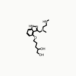 CNCCN(C)Cc1n[nH]c2cccc(OCCCC(O)CO)c12